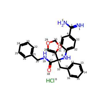 Cl.N=C(N)c1ccc(N[C@](Cc2ccccc2)(C(=O)NCc2ccccc2)C2=COCO2)cc1